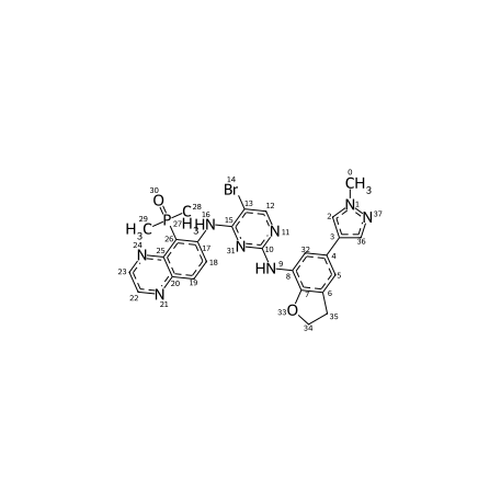 Cn1cc(-c2cc3c(c(Nc4ncc(Br)c(Nc5ccc6nccnc6c5P(C)(C)=O)n4)c2)OCC3)cn1